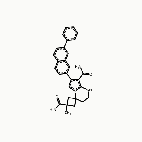 CC1(C(N)=O)CC2(CCNc3c(C(N)=O)c(-c4ccc5ccc(-c6ccccc6)nc5c4)nn32)C1